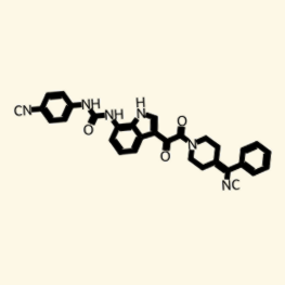 [C-]#[N+]C(=C1CCN(C(=O)C(=O)c2c[nH]c3c(NC(=O)Nc4ccc([N+]#[C-])cc4)cccc23)CC1)c1ccccc1